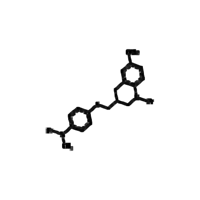 COc1ccc2c(c1)CC(CSc1ccc(N(C)C(C)C)cc1)CN2C(C)C